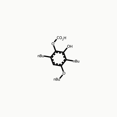 CCCCOc1cc(CCCC)c(OC(=O)O)c(O)c1CCCC